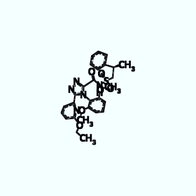 CCOc1cccc(-c2nnc(C(=O)NS(=O)(=O)C[C@H](C)c3ccccc3)n2-c2c(OC)cccc2OC)n1